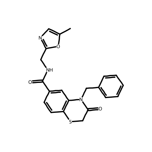 Cc1cnc(CNC(=O)c2ccc3c(c2)N(Cc2ccccc2)C(=O)CS3)o1